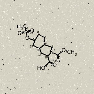 COC(=O)N1CC2CCC(OS(C)(=O)=O)CC2CC1C(=O)O